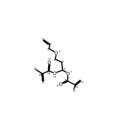 C=CCOCCC(OC(=O)C(=C)C)OC(=O)C(=C)C